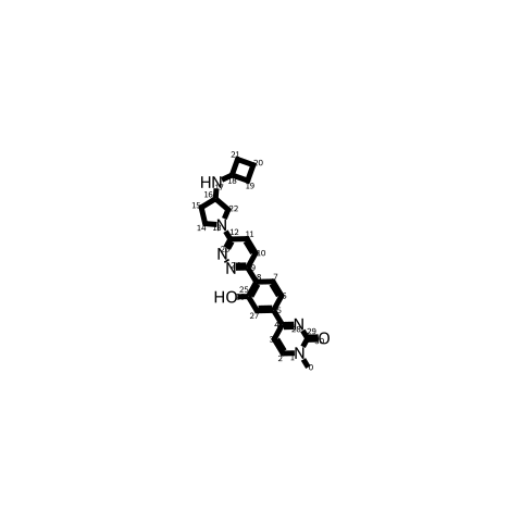 Cn1ccc(-c2ccc(-c3ccc(N4CCC(NC5CCC5)C4)nn3)c(O)c2)nc1=O